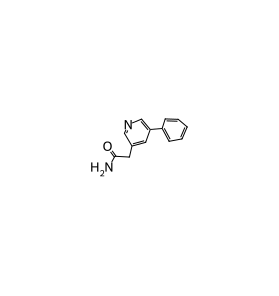 NC(=O)Cc1cncc(-c2ccccc2)c1